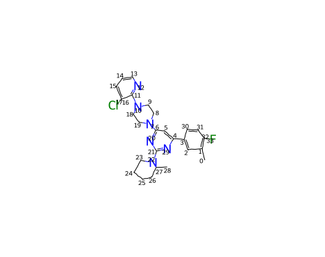 Cc1cc(-c2cc(N3CCN(c4ncccc4Cl)CC3)nc(N3CCCCC3C)n2)ccc1F